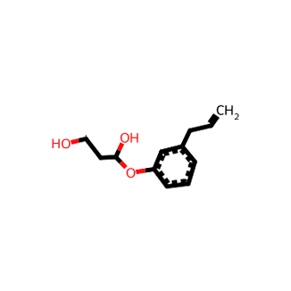 C=CCc1cccc(OC(O)C[CH]O)c1